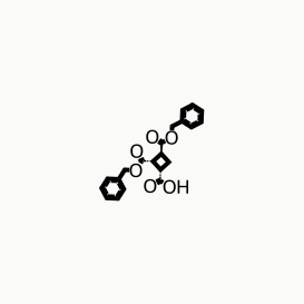 O=C(OCc1ccccc1)[C@H]1[C@@H](C(=O)O)C[C@@H]1C(=O)OCc1ccccc1